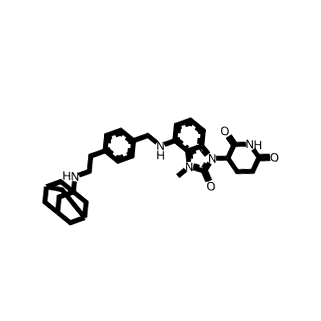 Cn1c(=O)n(C2CCC(=O)NC2=O)c2cccc(NCc3ccc(CCNC45CC6CC(CC(C6)C4)C5)cc3)c21